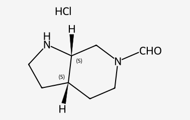 Cl.O=CN1CC[C@@H]2CCN[C@@H]2C1